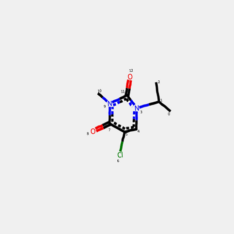 CC(C)n1cc(Cl)c(=O)n(C)c1=O